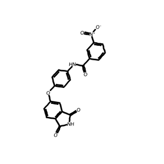 O=C(Nc1ccc(Oc2ccc3c(c2)C(=O)NC3=O)cc1)c1cccc([N+](=O)[O-])c1